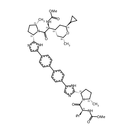 COC(=O)N[C@H](C(=O)N1[C@@H](C)CC[C@H]1c1ncc(-c2ccc(-c3ccc(-c4cnc([C@@H]5CC[C@H](C)N5C(=O)[C@@H](NC(=O)OC)[C@H]5C[C@@H](C)O[C@H](C6CC6)C5)[nH]4)cc3)cc2)[nH]1)C(C)C